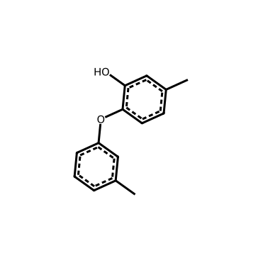 Cc1cccc(Oc2ccc(C)cc2O)c1